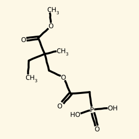 CCC(C)(COC(=O)CP(=O)(O)O)C(=O)OC